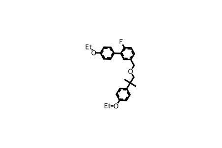 CCOc1ccc(-c2cc(COCC(C)(C)c3ccc(OCC)cc3)ccc2F)cc1